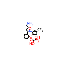 NCC1CC2c3ccccc3Oc3ccc(C(F)(F)F)cc3N2O1.O=C(O)C(=O)O